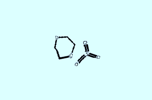 C1COCCO1.O=S(=O)=O